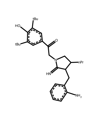 CCCC1CN(CC(=O)c2cc(C(C)(C)C)c(O)c(C(C)(C)C)c2)C(=N)C1Cc1ccccc1N